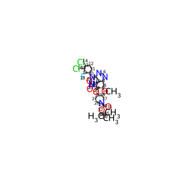 COc1cc2ncnc(Nc3ccc(Cl)c(Cl)c3F)c2c([N+](=O)[O-])c1OC1CCN(C(=O)OC(C)(C)C)CC1